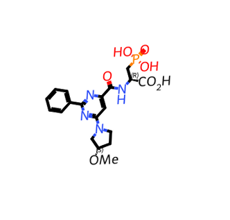 CO[C@H]1CCN(c2cc(C(=O)N[C@@H](CP(=O)(O)O)C(=O)O)nc(-c3ccccc3)n2)C1